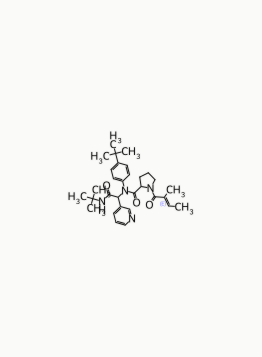 C/C=C(\C)C(=O)N1CCCC1C(=O)N(c1ccc(C(C)(C)C)cc1)C(C(=O)NC(C)(C)C)c1cccnc1